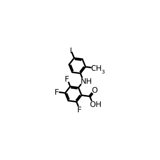 Cc1cc(I)ccc1Nc1c(F)c(F)cc(F)c1C(=O)O